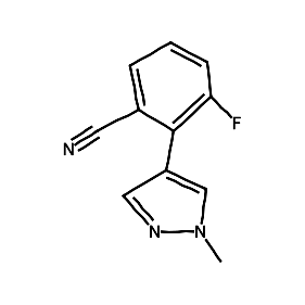 Cn1cc(-c2c(F)cccc2C#N)cn1